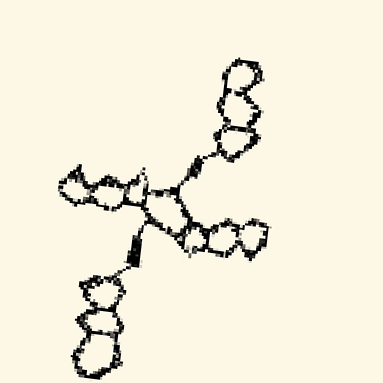 C(#Cc1c2sc3cc4ccccc4cc3c2c(C#Cc2ccc3cc4ccccc4cc3c2)c2sc3cc4ccccc4cc3c12)c1ccc2cc3ccccc3cc2c1